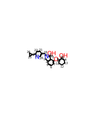 C[C@@]1(O)c2c(cccc2O[C@H]2CCCC[C@@H]2O)CN1Cc1ccc(C2CC2)nc1